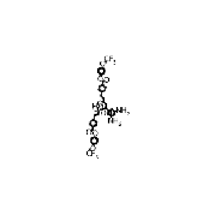 Nc1cc(N)cc(C(CC(=O)C=Cc2ccc(C(=O)Oc3ccc(OCC(F)(F)F)cc3)cc2)C(O)(O)C(=O)C=Cc2ccc(C(=O)Oc3ccc(OCC(F)(F)F)cc3)cc2)c1